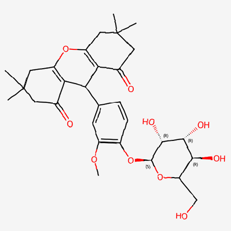 COc1cc(C2C3=C(CC(C)(C)CC3=O)OC3=C2C(=O)CC(C)(C)C3)ccc1O[C@@H]1OC(CO)[C@H](O)[C@@H](O)[C@H]1O